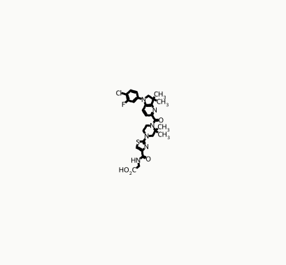 CC1(C)CN(c2ccc(Cl)c(F)c2)c2ccc(C(=O)N3CCN(c4nc(C(=O)NCC(=O)O)cs4)CC3(C)C)nc21